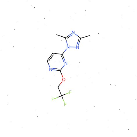 Cc1nc(C)n(-c2ccnc(OCC(F)(F)F)n2)n1